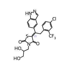 O=C1S/C(=C(/Cc2ccc(Cl)cc2C(F)(F)F)c2ccc3[nH]ncc3c2)C(=O)N1CC(O)CO